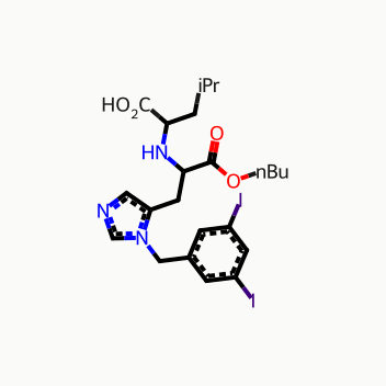 CCCCOC(=O)C(Cc1cncn1Cc1cc(I)cc(I)c1)NC(CC(C)C)C(=O)O